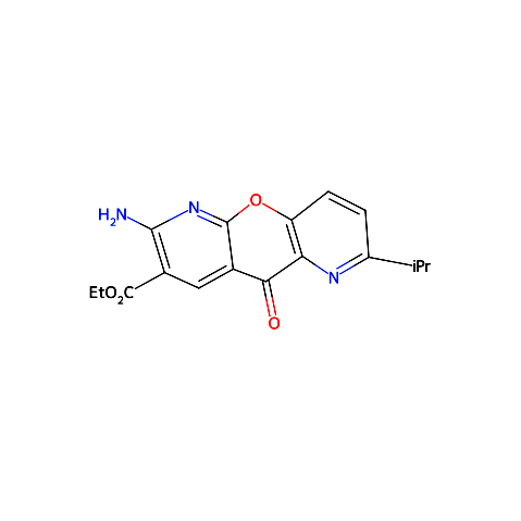 CCOC(=O)c1cc2c(=O)c3nc(C(C)C)ccc3oc2nc1N